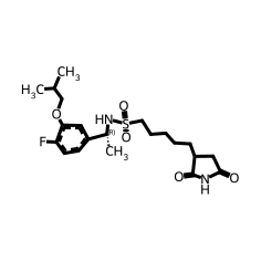 CC(C)COc1cc([C@@H](C)NS(=O)(=O)CCCCCC2CC(=O)NC2=O)ccc1F